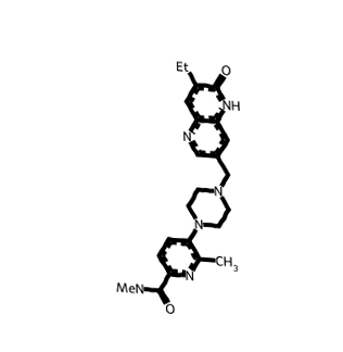 CCc1cc2ncc(CN3CCN(c4ccc(C(=O)NC)nc4C)CC3)cc2[nH]c1=O